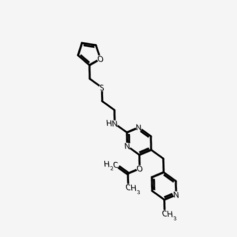 C=C(C)Oc1nc(NCCSCc2ccco2)ncc1Cc1ccc(C)nc1